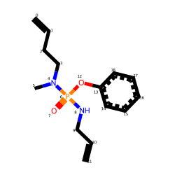 C=CCCN(C)P(=O)(NCC=C)Oc1ccccc1